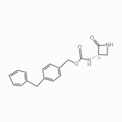 O=C(N[C@H]1CNC1=O)OCc1ccc(Cc2ccccc2)cc1